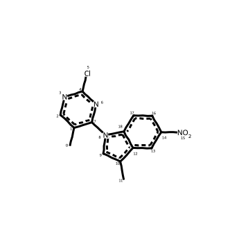 Cc1cnc(Cl)nc1-n1cc(C)c2cc([N+](=O)[O-])ccc21